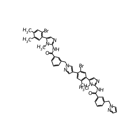 Cc1cc(Br)c(-c2cnc(NC(=O)c3cccc(Cn4cc(-c5cc(C)c(-c6cnc(NC(=O)c7cccc(Cn8cccn8)c7)n6C)cc5Br)cn4)c3)n2C)cc1C